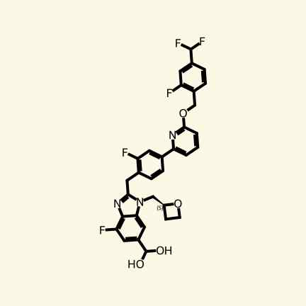 OC(O)c1cc(F)c2nc(Cc3ccc(-c4cccc(OCc5ccc(C(F)F)cc5F)n4)cc3F)n(C[C@@H]3CCO3)c2c1